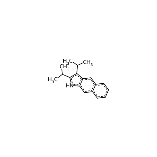 CC(C)c1[nH]c2cc3ccccc3cc2c1C(C)C